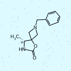 C[C@H]1NC(=O)OC12CN(Cc1ccccc1)C2